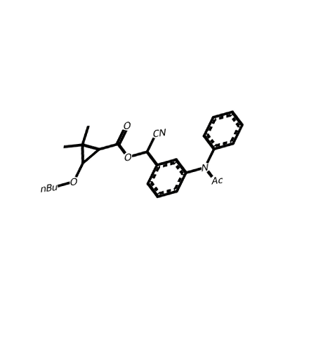 CCCCOC1C(C(=O)OC(C#N)c2cccc(N(C(C)=O)c3ccccc3)c2)C1(C)C